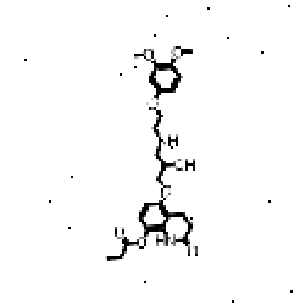 CCC(=O)Oc1ccc(OCC(O)CNCCOc2ccc(OC)c(OC)c2)c2c1NC(=O)CC2